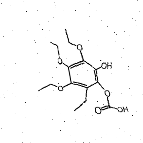 CCOc1c(O)c(OC(=O)O)c(CC)c(OCC)c1OCC